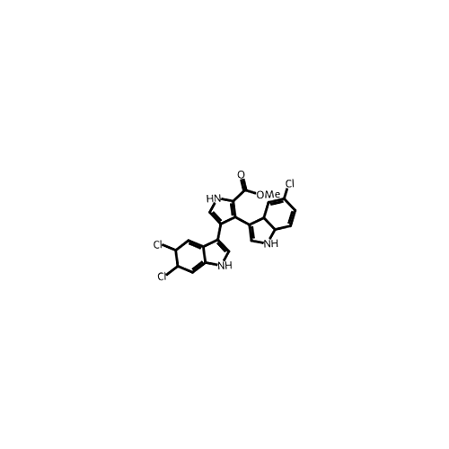 COC(=O)c1[nH]cc(-c2c[nH]c3c2=CC(Cl)C(Cl)C=3)c1C1=CNC2C=CC(Cl)=CC12